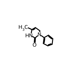 CC1=CCN(c2ccccc2)C(=O)N1